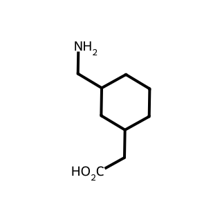 NCC1CCCC(CC(=O)O)C1